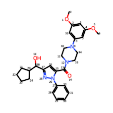 COc1cc(OC)cc(N2CCN(C(=O)c3cc(C(O)C4CCCC4)nn3-c3ccccc3)CC2)c1